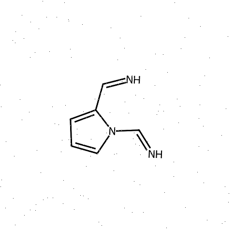 N=Cc1cccn1C=N